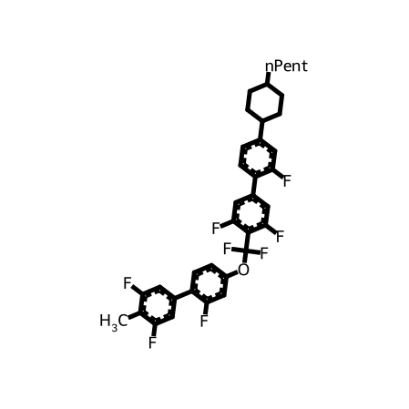 CCCCCC1CCC(c2ccc(-c3cc(F)c(C(F)(F)Oc4ccc(-c5cc(F)c(C)c(F)c5)c(F)c4)c(F)c3)c(F)c2)CC1